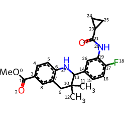 COC(=O)c1ccc2c(c1)CC(C)(C)C(c1ccc(F)c(NC(=O)C3CC3)c1)N2